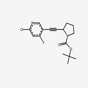 CC(C)(C)OC(=O)N1CCCC1C#Cc1cnc(Cl)cc1F